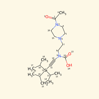 CC(=O)N1CCN(CCN(C#C[Si](C(C)C)(C(C)C)C(C)C)C(=O)O)CC1